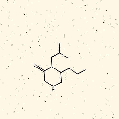 CCCC1CNCC(=O)N1CC(C)C